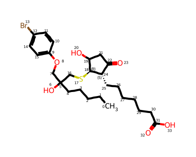 CCCCCC(O)(COc1ccc(Br)cc1)CS[C@H]1C(O)CC(=O)[C@@H]1CCCCCCC(=O)O